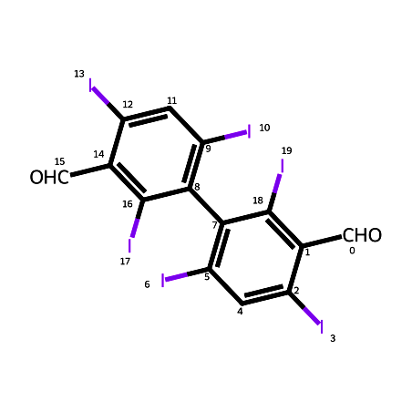 O=Cc1c(I)cc(I)c(-c2c(I)cc(I)c(C=O)c2I)c1I